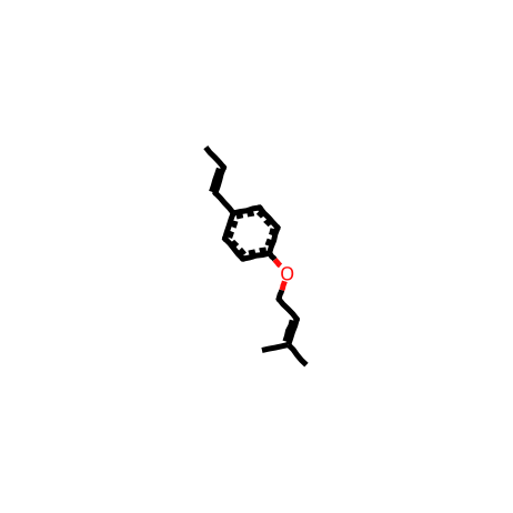 CC=Cc1ccc(OCC=C(C)C)cc1